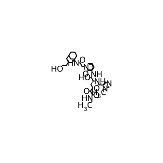 CCNC(=O)C(=O)CC[C@H](NC(=O)c1cncn1C)C(O)Nc1cccn(CC(=O)NC23CCCC(CC(CCO)C2)C3)c1=O